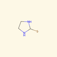 [S]C1NCCN1